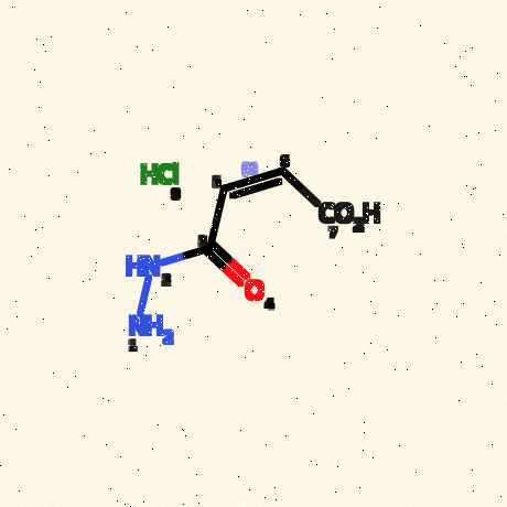 Cl.NNC(=O)/C=C\C(=O)O